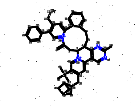 C=C1CC2C(CCc3ccccc3-c3cc(CC(C)C)c(-c4ccccc4)c[n+]31)c1nc(C)ncc1-c1cc(CC3CC4CC3C4)c([Si](C)(C)C)c[n+]12